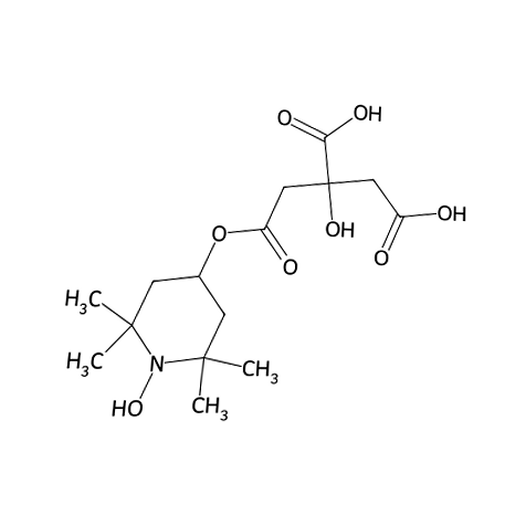 CC1(C)CC(OC(=O)CC(O)(CC(=O)O)C(=O)O)CC(C)(C)N1O